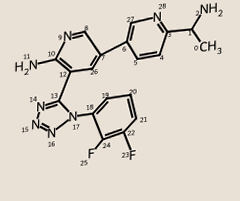 CC(N)c1ccc(-c2cnc(N)c(-c3nnnn3-c3cccc(F)c3F)c2)cn1